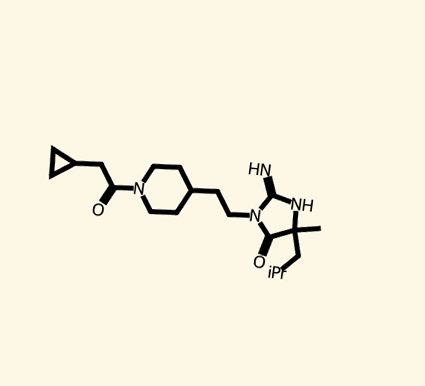 CC(C)CC1(C)NC(=N)N(CCC2CCN(C(=O)CC3CC3)CC2)C1=O